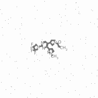 C=CC(=O)N1CCC(c2cnc(N3CC(F)(F)C(F)(F)C3)nc2-c2ccn(C)n2)C1